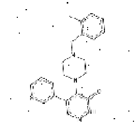 Cc1ccccc1CN1CCN(c2c(-c3cccnc3)cn[nH]c2=O)CC1